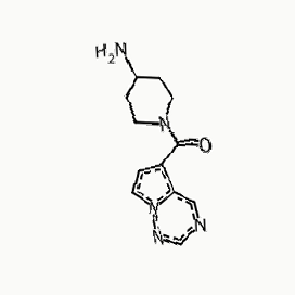 NC1CCN(C(=O)c2ccn3ncncc23)CC1